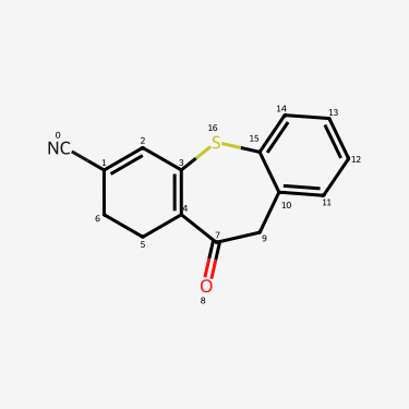 N#CC1=CC2=C(CC1)C(=O)Cc1ccccc1S2